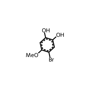 COc1cc(O)c(O)cc1Br